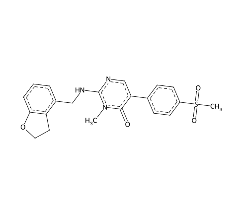 Cn1c(NCc2cccc3c2CCO3)ncc(-c2ccc(S(C)(=O)=O)cc2)c1=O